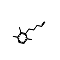 [CH]=CCCCc1c(C)ccc(C)c1C